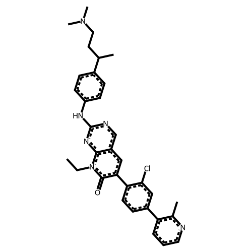 CCn1c(=O)c(-c2ccc(-c3cccnc3C)cc2Cl)cc2cnc(Nc3ccc(C(C)CCN(C)C)cc3)nc21